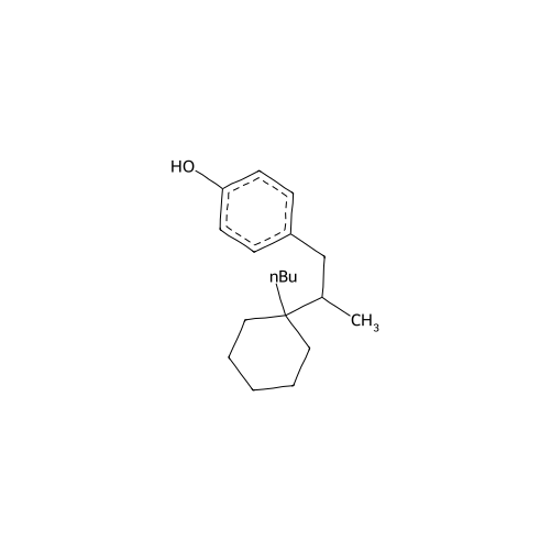 CCCCC1(C(C)Cc2ccc(O)cc2)CCCCC1